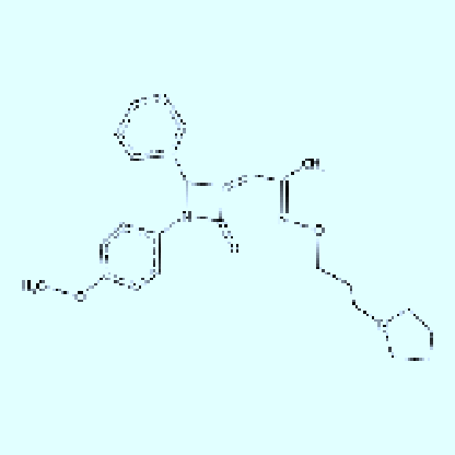 COc1ccc(N2C(=O)C(=CC(C)=NOCCCN3CCCC3)C2c2ccccc2)cc1